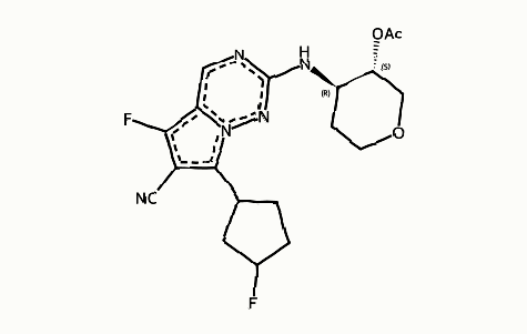 CC(=O)O[C@@H]1COCC[C@H]1Nc1ncc2c(F)c(C#N)c(C3CCC(F)C3)n2n1